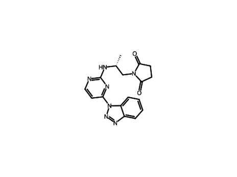 C[C@H](CN1C(=O)CCC1=O)Nc1nccc(-n2nnc3ccccc32)n1